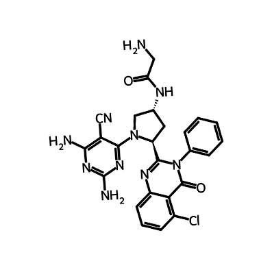 N#Cc1c(N)nc(N)nc1N1C[C@H](NC(=O)CN)C[C@H]1c1nc2cccc(Cl)c2c(=O)n1-c1ccccc1